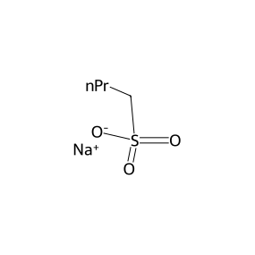 CCCCS(=O)(=O)[O-].[Na+]